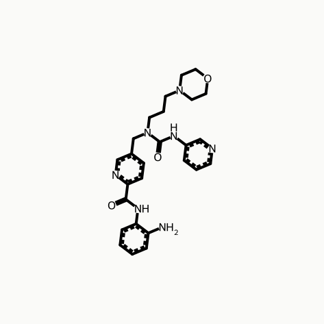 Nc1ccccc1NC(=O)c1ccc(CN(CCCN2CCOCC2)C(=O)Nc2cccnc2)cn1